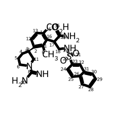 Cc1c([C@@H]2CCCN(C(=N)N)C2)ccc(C(=O)O)c1C(CNS(=O)(=O)c1ccc2ccccc2c1)C(N)=O